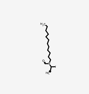 C#CC(I)N(C=O)CCCCCCCCCCCC